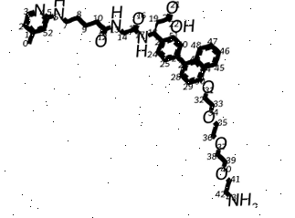 Cc1ccnc(NCCCCC(=O)NCC(=O)N[C@@H](CC(=O)O)c2ccc(-c3ccc(OCCOCCOCCOCCN)c4ccccc34)cc2)c1